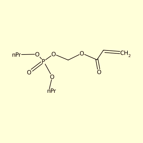 C=CC(=O)OCOP(=O)(OCCC)OCCC